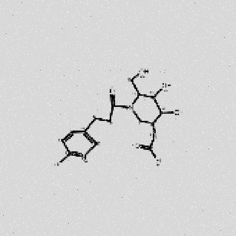 CCC(=O)NC1CN(C(=O)CCc2ccc(F)nc2)C(CO)C(O)C1O